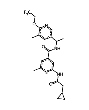 Cc1cc(C(=O)NC(C)c2cnc(OCC(F)(F)F)c(C)c2)cc(NC(=O)CC2CC2)n1